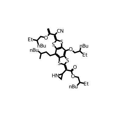 C=C(OCC(CC)CCCC)/C(C#N)=C1\Sc2c(CCC(C)CCCC)c3c(c(OCC(CC)CCCC)c2S1)S/C(=C(\C(=O)OCC(CC)CCCC)C1CN1)S3